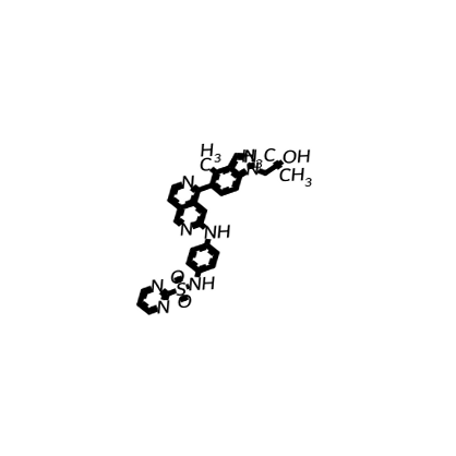 Cc1c(-c2nccc3cnc(Nc4ccc(NS(=O)(=O)c5ncccn5)cc4)cc23)ccc2c1cnn2CC(C)(C)O